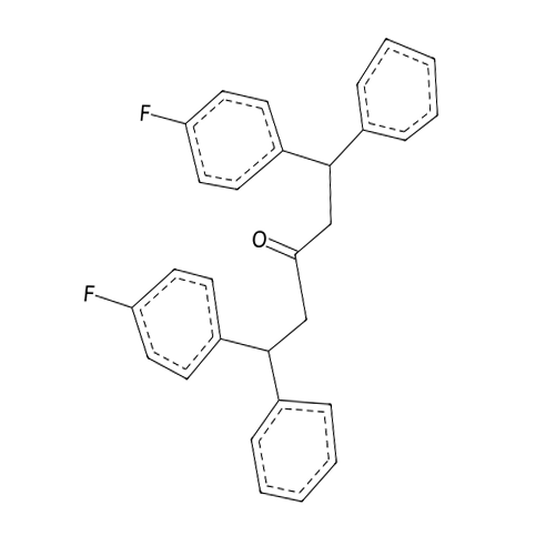 O=C(CC(c1ccccc1)c1ccc(F)cc1)CC(c1ccccc1)c1ccc(F)cc1